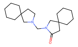 O=C1CC2(CCCCC2)CN1CN1CCC2(CCCCC2)C1